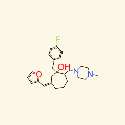 CN1CCN(CC2CCCC(=Cc3ccco3)CC2(O)Cc2ccc(F)cc2)CC1